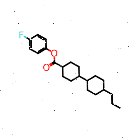 CCCC1CCC(C2CCC(C(=O)Oc3ccc(F)cc3)CC2)CC1